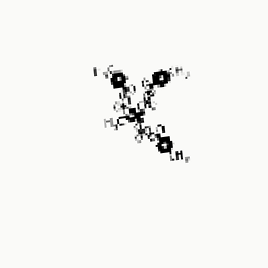 CCCC(COC(=O)OOC(=O)c1ccc(C)cc1)(COC(=O)OOC(=O)c1ccc(C)cc1)COC(=O)OOC(=O)c1ccc(C)cc1